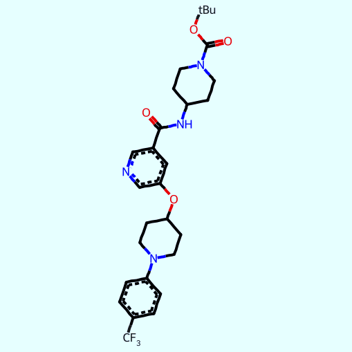 CC(C)(C)OC(=O)N1CCC(NC(=O)c2cncc(OC3CCN(c4ccc(C(F)(F)F)cc4)CC3)c2)CC1